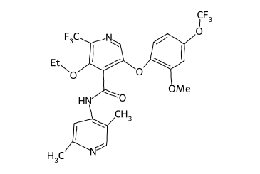 CCOc1c(C(F)(F)F)ncc(Oc2ccc(OC(F)(F)F)cc2OC)c1C(=O)Nc1cc(C)ncc1C